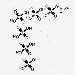 O=S(=O)(O)O.O=S(=O)(O)O.O=S(=O)(O)O.O=S(=O)(O)O.O=S(=O)(O)O.O=S(=O)(O)O.[KH].[KH]